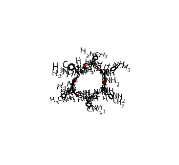 Cc1ccc(B2NB3NB(N2)c2ccc(cc2N)B2NB(c4ccc(C)c(N)c4)NB(N2)c2ccc(cc2N)B2NB(c4ccc(C)c(N)c4)NB(N2)c2ccc(cc2N)B2NB(c4ccc(C)c(N)c4)NB(N2)c2ccc(cc2N)B2NB(c4ccc(C)c(N)c4)NB(N2)c2ccc(cc2N)B2NB(c4ccc(C)c(N)c4)NB(N2)c2ccc3cc2N)cc1N